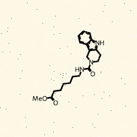 COC(=O)CCCCCCNC(=O)N1CCc2[nH]c3ccccc3c2C1